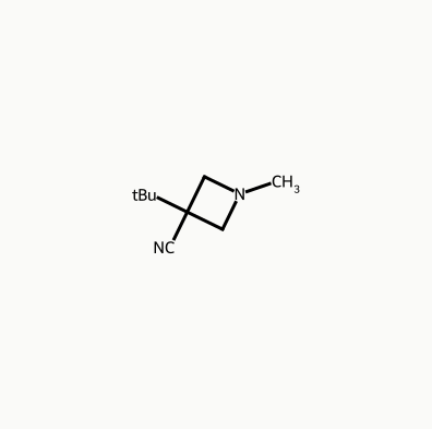 CN1CC(C#N)(C(C)(C)C)C1